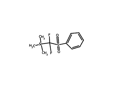 C[Si](C)(C)C(F)(F)S(=O)(=O)c1ccccc1